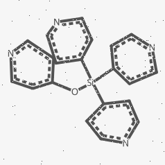 c1cc(O[Si](c2ccncc2)(c2ccncc2)c2ccncc2)ccn1